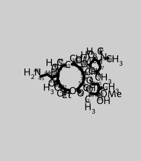 CC[C@H]1OC(=O)[C@H](C)[C@@H](O[C@H]2C[C@@](C)(OC)[C@@H](O)[C@H](C)O2)[C@H](C)[C@@H](O[C@@H]2O[C@H](C)C[C@H](N(C)C)[C@H]2O)[C@](C)(OC)C[C@@H](C)C(=O)[C@@H]2C(CCN)O[C@H]2[C@]1(C)O